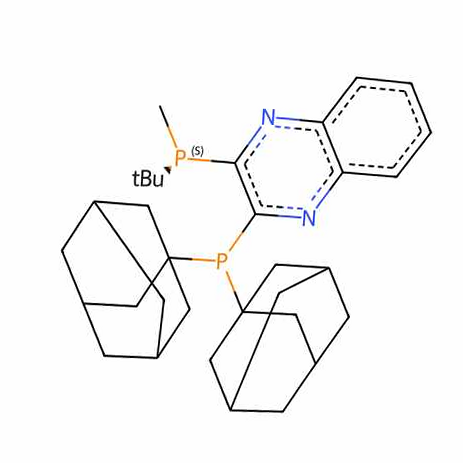 C[P@@](c1nc2ccccc2nc1P(C12CC3CC(CC(C3)C1)C2)C12CC3CC(CC(C3)C1)C2)C(C)(C)C